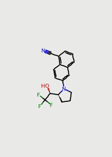 N#Cc1cccc2cc(N3CCC[C@H]3[C@H](O)C(F)(F)F)ccc12